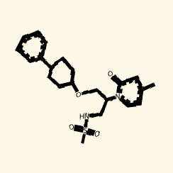 Cc1ccn(C(CNS(C)(=O)=O)COC2CCC(c3ccccc3)CC2)c(=O)c1